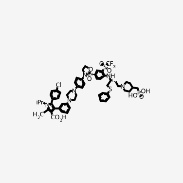 Cc1c(C(=O)O)c(-c2cccc(N3CCN(c4ccc(N5CCO[P@@]5(=O)c5ccc(N[C@H](CCN6CCC(CP(=O)(O)O)CC6)CSc6ccccc6)c(S(=O)(=O)C(F)(F)F)c5)cc4)CC3)c2)c(-c2ccc(Cl)cc2)n1C(C)C